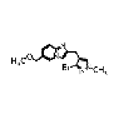 COCc1ccc2nc(Cc3cn(C)nc3Br)cn2c1